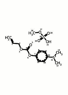 C=CCOC(=O)Oc1ccc([S+](C)C)cc1.COS(=O)(=O)O